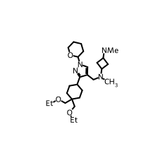 CCOCC1(COCC)CCC(c2nn(C3CCCCO3)cc2CN(C)C2CC(NC)C2)CC1